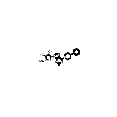 OC[C@H]1O[C@@H](n2cnc3c(N4CCC(c5ccccc5)CC4)nc(Cl)nc32)[C@H](O)[C@@H]1O